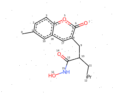 Cc1ccc2oc(=O)c(CC(CC(C)C)C(=O)NO)cc2c1